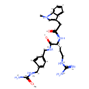 Cn1cc(CC(=O)N[C@H](CCCNC(=N)N)C(=O)NCc2ccc(CNC(N)=O)cc2)c2ccccc21